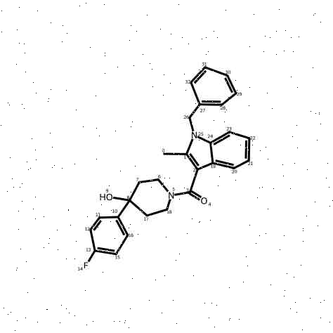 Cc1c(C(=O)N2CCC(O)(c3ccc(F)cc3)CC2)c2ccccc2n1Cc1ccccc1